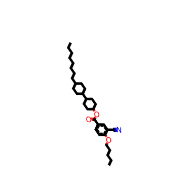 CCCCCCCCC1CCC(C2CCC(OC(=O)c3ccc(OCCCCC)c(C#N)c3)CC2)CC1